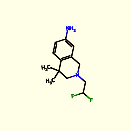 CC1(C)CN(CC(F)F)Cc2cc(N)ccc21